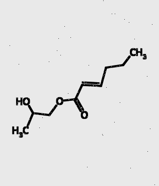 CCCC=CC(=O)OCC(C)O